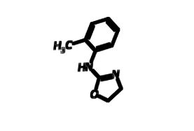 Cc1ccccc1NC1=NCCO1